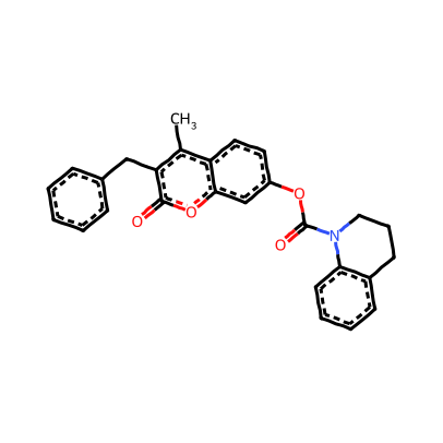 Cc1c(Cc2ccccc2)c(=O)oc2cc(OC(=O)N3CCCc4ccccc43)ccc12